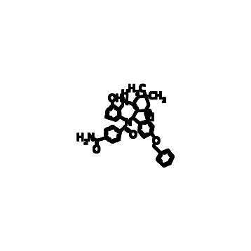 CC1(C)CC(=O)C2=C(C1)Nc1c(O)cccc1N(C(=O)c1ccc(C(N)=O)cc1)C2c1ccc(OCc2ccccc2)cc1Cl